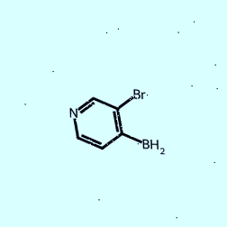 Bc1ccncc1Br